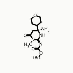 CN1C(=O)C[C@@](N)(C2CCOCC2)N/C1=N/C(=O)OC(C)(C)C